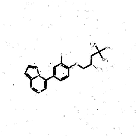 C[C@H](COc1ccc(-c2ccnc3ccnn23)cc1F)CC(C)(C)N